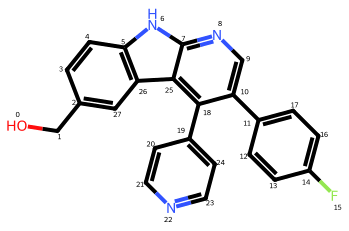 OCc1ccc2[nH]c3ncc(-c4ccc(F)cc4)c(-c4ccncc4)c3c2c1